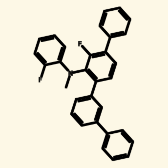 CN(c1ccccc1F)c1c(-c2cccc(-c3ccccc3)c2)ccc(-c2ccccc2)c1F